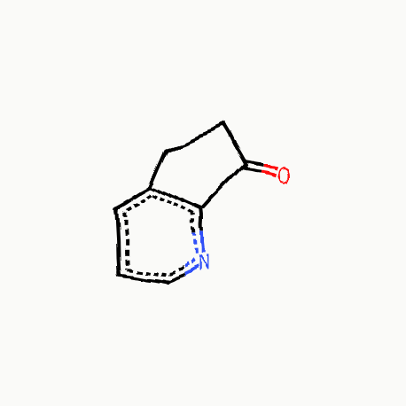 O=C1CCc2cccnc21